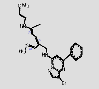 COCCN/C(C)=C/C=C(\C=N\O)CNc1cc(-c2ccccc2)nc2c(Br)cnn12